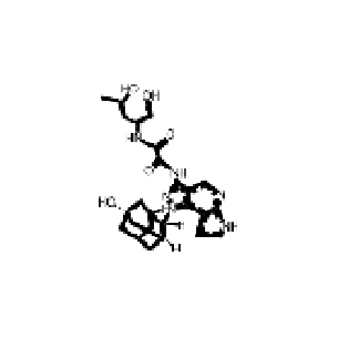 CC(O)C[C@@H](CO)NC(=O)C(=O)Nc1nn([C@H]2[C@@H]3CC4C[C@H]2C[C@@](O)(C4)C3)c2c1cnc1[nH]ccc12